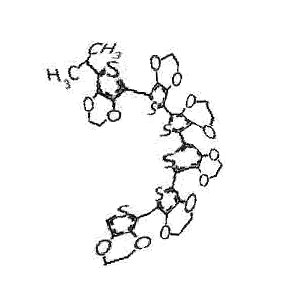 CC(C)c1sc(-c2sc(-c3sc(-c4sc(-c5sc(-c6scc7c6OCCO7)c6c5OCCO6)c5c4OCCO5)c4c3OCCO4)c3c2OCCO3)c2c1OCCO2